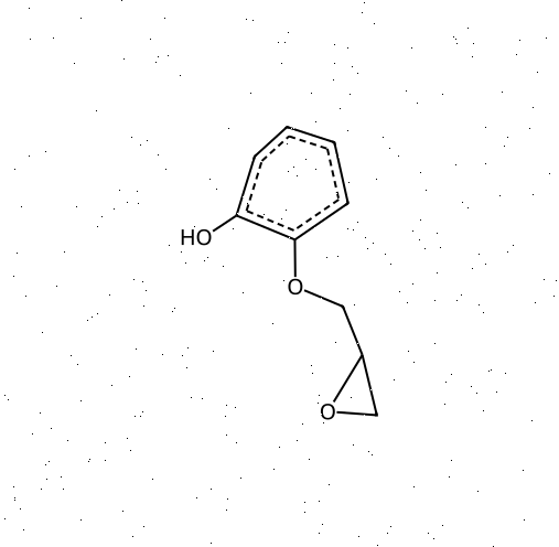 Oc1ccccc1OCC1CO1